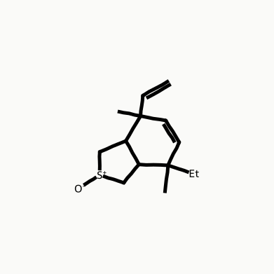 C=CC1(C)C=CC(C)(CC)C2C[S+]([O-])CC21